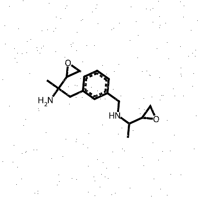 CC(NCc1cccc(CC(C)(N)C2CO2)c1)C1CO1